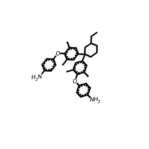 CCC1CCCC(c2cc(C)c(Oc3ccc(N)cc3)c(C)c2)(c2cc(C)c(Oc3ccc(N)cc3)c(C)c2)C1